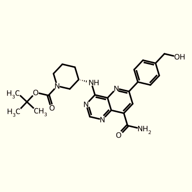 CC(C)(C)OC(=O)N1CCC[C@H](Nc2ncnc3c(C(N)=O)cc(-c4ccc(CO)cc4)nc23)C1